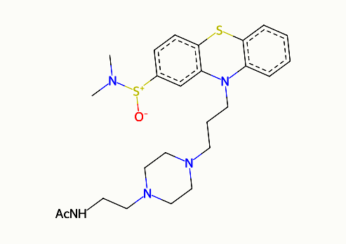 CC(=O)NCCN1CCN(CCCN2c3ccccc3Sc3ccc([S+]([O-])N(C)C)cc32)CC1